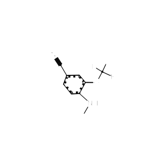 CNc1ccc(C#N)cc1OC(F)(F)F